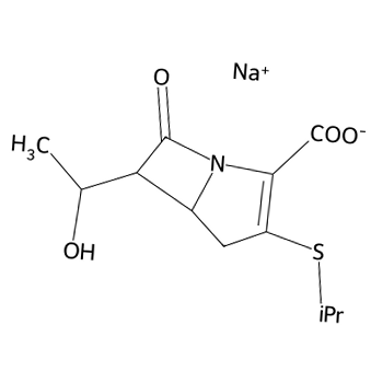 CC(C)SC1=C(C(=O)[O-])N2C(=O)C(C(C)O)C2C1.[Na+]